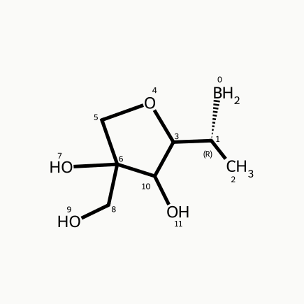 B[C@H](C)C1OCC(O)(CO)C1O